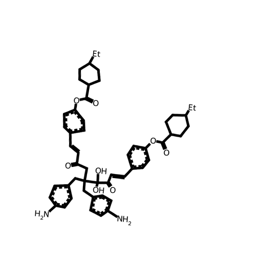 CCC1CCC(C(=O)Oc2ccc(C=CC(=O)CC(Cc3ccc(N)cc3)(Cc3ccc(N)cc3)C(O)(O)C(=O)C=Cc3ccc(OC(=O)C4CCC(CC)CC4)cc3)cc2)CC1